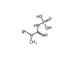 CC(C)N(C)C(=N)NP(=O)(O)O